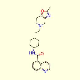 Cc1nc2c(o1)CCN(CC[C@H]1CC[C@H](NC(=O)c3cccc4ncccc34)CC1)C2